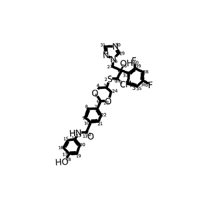 C[C@@H](SC1COC(c2ccc(C(=O)Nc3ccc(O)cc3)cc2)OC1)[C@](O)(Cn1cncn1)c1ccc(F)cc1F